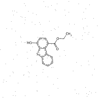 CCOC(=O)c1ccc(O)c2sc3ccccc3c12